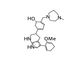 COC1=CCCC=C1c1c[nH]c2c1CC(C1=CC=C(CN3CCCN(C)CC3)C(O)C1)CN2